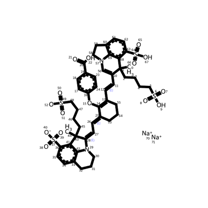 CC1(CCCCS(=O)(=O)O)C(/C=C/C2=C(Oc3ccc(C(=O)O)cc3)C(=C/C=C3/N4CCCc5ccc(S(=O)(=O)[O-])c(c54)C3(C)CCCCS(=O)(=O)[O-])/CCC2)=CN2CCc3ccc(S(=O)(=O)O)c1c32.[Na+].[Na+]